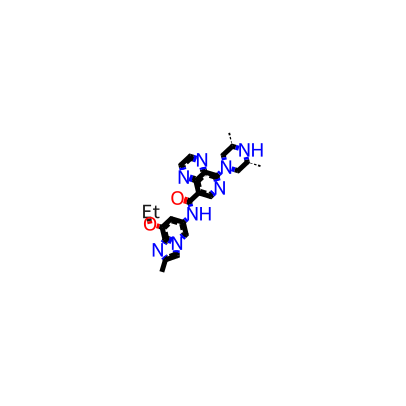 CCOc1cc(NC(=O)c2cnc(N3C[C@@H](C)N[C@@H](C)C3)c3nccnc23)cn2cc(C)nc12